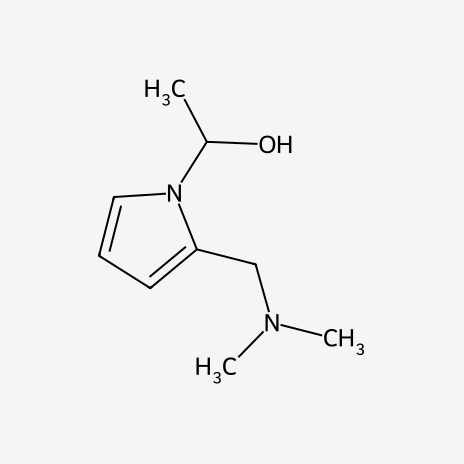 CC(O)n1cccc1CN(C)C